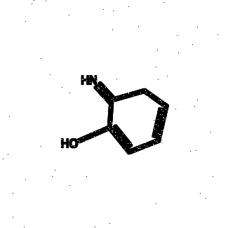 N=C1CC=CC=C1O